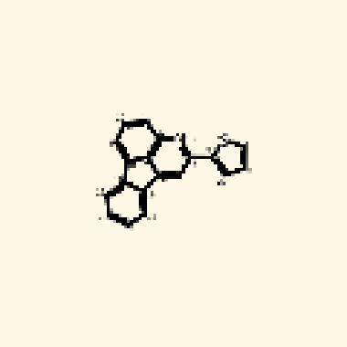 c1csc(-c2cc3c4c(cccc4n2)-c2ccccc2-3)c1